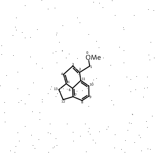 COCc1ccc2c3c(cccc13)CC2